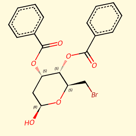 O=C(O[C@H]1[C@@H](OC(=O)c2ccccc2)C[C@H](O)O[C@@H]1CBr)c1ccccc1